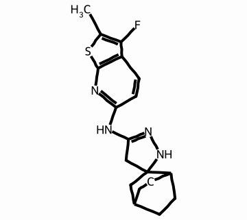 Cc1sc2nc(NC3=NNC4(C3)CC3CCC4CC3)ccc2c1F